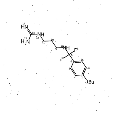 CC(C)(C)c1ccc(C(F)(F)NCCCNC(=N)N)cc1